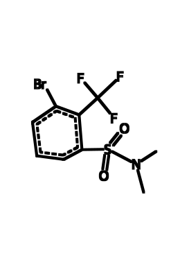 CN(C)S(=O)(=O)c1cccc(Br)c1C(F)(F)F